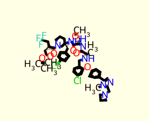 COC[C@H](NC(=O)[C@H](C)NCc1ccc(Cl)cc1Oc1ccc(-c2cnc(CN3CCC3)n2C)cc1)C(=O)N[C@@]1(Cc2ccc(Cl)cc2)CCCN(C(=O)[C@@H](CC(=O)OC(C)(C)C)CC(F)(F)F)C1